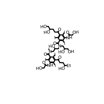 CCC(O)CCC(=O)c1c(I)c(NC(=O)CO)c(I)c(C(=O)N(C)CC(O)CN(CC(O)CO)C(=O)c2c(I)c(NC(=O)CO)c(I)c(C(=O)CCC(O)CO)c2I)c1I